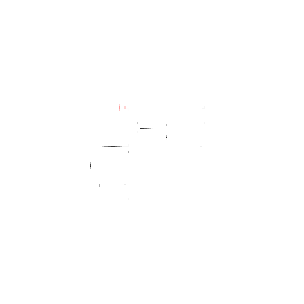 CC1CCCC(C(O)C2CCCC(C)C2)C1